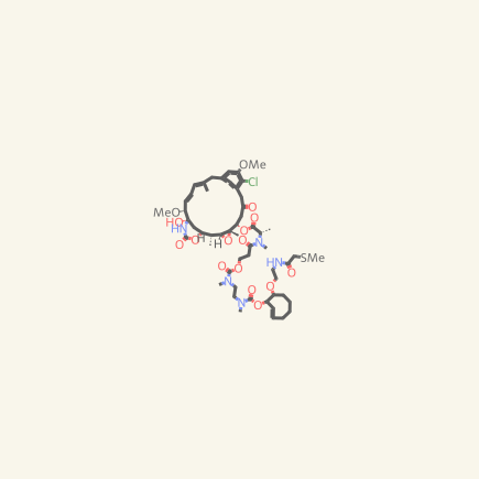 COc1cc2cc(c1Cl)CC(=O)C[C@H](OC(=O)[C@H](C)N(C)C(=O)CCOC(=O)N(C)CCN(C)C(=O)OC1/C=C/CCCCC1OCCNC(=O)CSC)[C@]1(C)O[C@H]1[C@H](C)[C@@H]1C[C@@](O)(NC(=O)O1)[C@H](OC)/C=C/C=C(\C)C2